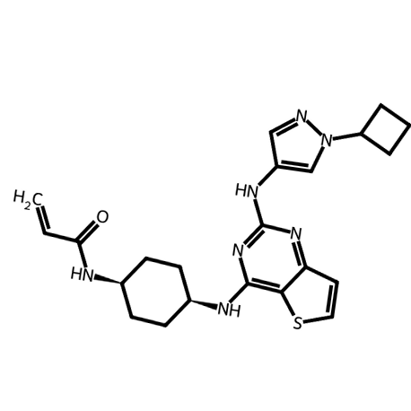 C=CC(=O)N[C@H]1CC[C@@H](Nc2nc(Nc3cnn(C4CCC4)c3)nc3ccsc23)CC1